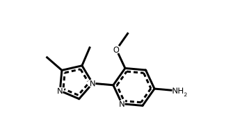 COc1cc(N)cnc1-n1cnc(C)c1C